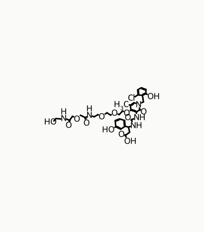 Cc1cn(Cc2c(O)cccc2Cl)c(=O)c(NC(=O)NC(CC(=O)O)c2cccc(O)c2)c1OCCOCCOCCNC(=O)COCC(=O)NCCO